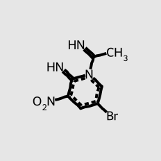 CC(=N)n1cc(Br)cc([N+](=O)[O-])c1=N